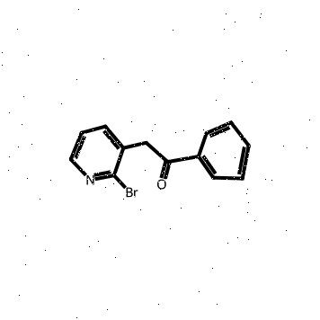 O=C(Cc1cccnc1Br)c1ccccc1